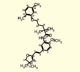 COc1ccc(C=CC2=NC(C)(C)CO2)cc1NC(=O)C(C)(C)CCCOc1cc(C)ccc1C